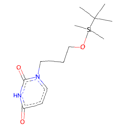 CC(C)(C)[Si](C)(C)OCCCn1ccc(=O)[nH]c1=O